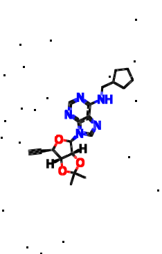 C#C[C@H]1O[C@@H](n2cnc3c(NCC4CCCC4)ncnc32)[C@@H]2OC(C)(C)O[C@@H]21